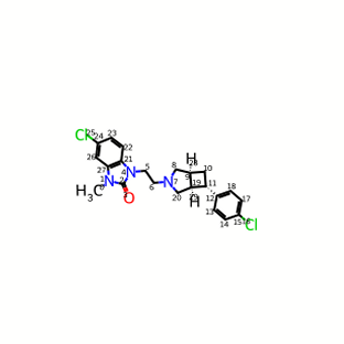 Cn1c(=O)n(CCN2C[C@H]3C[C@H](c4ccc(Cl)cc4)[C@H]3C2)c2ccc(Cl)cc21